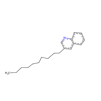 CCCCCCCCCCc1[c]c2ccccc2nc1